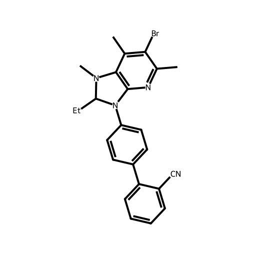 CCC1N(C)c2c(nc(C)c(Br)c2C)N1c1ccc(-c2ccccc2C#N)cc1